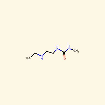 CCNCCNC(=O)NC